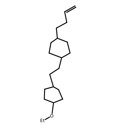 C=CCCC1CCC(CCC2CCC(OCC)CC2)CC1